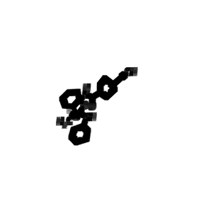 C#Cc1ccc(C(=O)NC2(OC(=O)Nc3ccccc3)C=CC=C[C@@H]2C=C)cc1